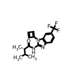 CC(C)[C@H](C)C(=O)Nc1nc2ccc(C(F)(F)F)cc2n1C1=CC=C1